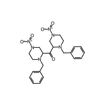 O=C(C1CN([N+](=O)[O-])CCN1Cc1ccccc1)C1CN([N+](=O)[O-])CCN1Cc1ccccc1